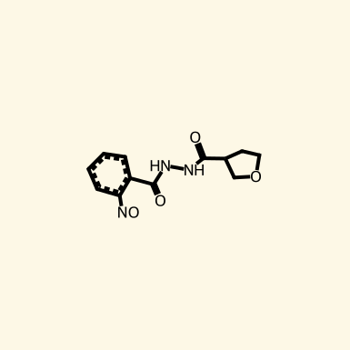 O=Nc1ccccc1C(=O)NNC(=O)C1CCOC1